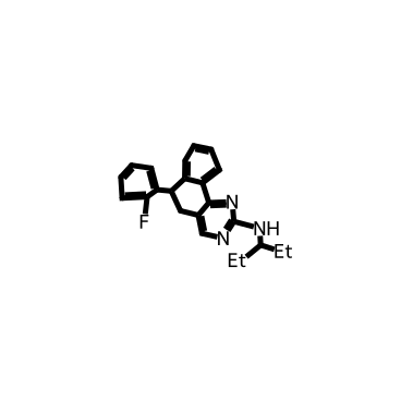 CCC(CC)Nc1ncc2c(n1)-c1ccccc1C(c1ccccc1F)C2